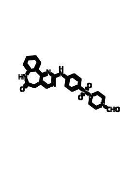 O=CN1CCN(S(=O)(=O)c2ccc(Nc3ncc4c(n3)-c3ccccc3NC(=O)C4)cc2)CC1